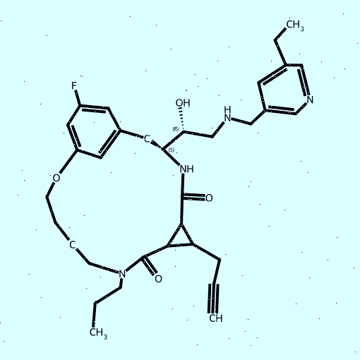 C#CCC1C2C(=O)N[C@H]([C@H](O)CNCc3cncc(CC)c3)Cc3cc(F)cc(c3)OCCCCN(CCC)C(=O)C12